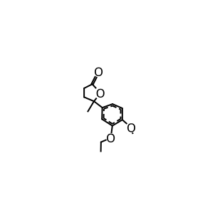 CCOc1cc(C2(C)CCC(=O)O2)ccc1OC